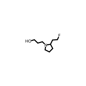 OCCCN1CCCC1CCF